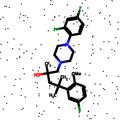 COc1ccc(F)cc1C(C)(C)CC(O)(CN1CCN(c2ccc(F)cc2F)CC1)C(F)(F)F